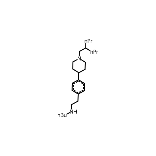 CCCCNCCc1ccc(C2CCN(CC(CCC)CCC)CC2)cc1